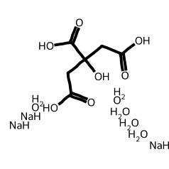 O.O.O.O.O.O=C(O)CC(O)(CC(=O)O)C(=O)O.[NaH].[NaH].[NaH]